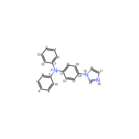 c1ccc(N(c2ccccc2)c2ccc(-n3ccnc3)cc2)cc1